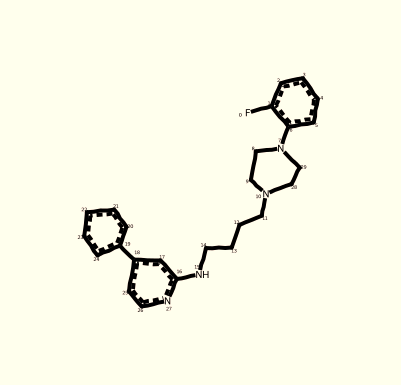 Fc1ccccc1N1CCN(CCCCNc2cc(-c3ccccc3)ccn2)CC1